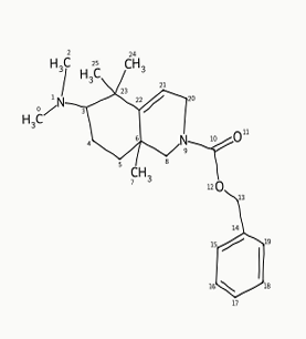 CN(C)C1CCC2(C)CN(C(=O)OCc3ccccc3)CC=C2C1(C)C